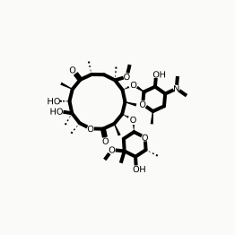 COC1(C)C[C@H](O[C@H]2[C@H](C)[C@@H](O[C@@H]3O[C@H](C)CC(N(C)C)C3O)[C@](C)(OC)C[C@@H](C)C(=O)[C@H](C)[C@@H](O)[C@](C)(O)[C@@H](C)OC(=O)[C@@H]2C)O[C@H](C)C1O